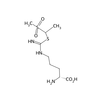 CC(SC(=N)NCCC[C@@H](N)C(=O)O)S(C)(=O)=O